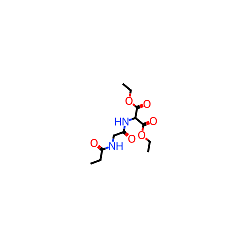 CCOC(=O)C(NC(=O)CNC(=O)CC)C(=O)OCC